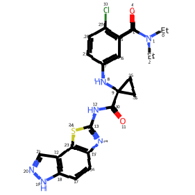 CCN(CC)C(=O)c1cc(NC2(C(=O)Nc3nc4ccc5[nH]ncc5c4s3)CC2)ccc1Cl